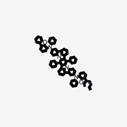 C=C/C=C\c1c(C)oc2c(N(c3ccccc3)c3ccc4c(c3)c3cccc5c6c(-c7ccccc7)c7c(c(-c8ccccc8)c6n4c35)c3cccc4c5cc(N(c6ccccc6)c6cccc8c6oc6ccccc68)ccc5n7c43)cccc12